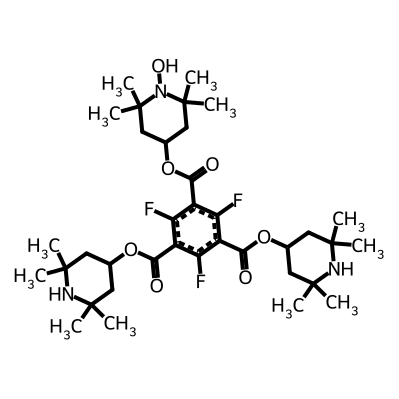 CC1(C)CC(OC(=O)c2c(F)c(C(=O)OC3CC(C)(C)NC(C)(C)C3)c(F)c(C(=O)OC3CC(C)(C)N(O)C(C)(C)C3)c2F)CC(C)(C)N1